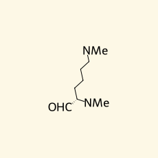 CNCCCC[C@@H](C=O)NC